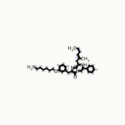 C/C=C\C=C(/C)Cc1[nH]c(-c2ccccc2)cn2c(=O)c(Cc3cccc(OCCCCCCN)c3)nc1-2